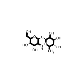 CC1O[C@H](O[C@H]2OC(CO)[C@@H](O)[C@@H](O)C2O)C(O)[C@@H](O)[C@@H]1O